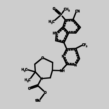 CC(C)(C)OC(=O)N1CC(Nc2ncc(C(F)(F)F)c(-c3c[nH]c4c(P(C)(C)=O)c(C#N)ccc34)n2)COCC1(C)C